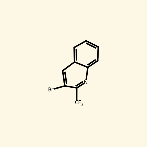 FC(F)(F)c1nc2ccccc2cc1Br